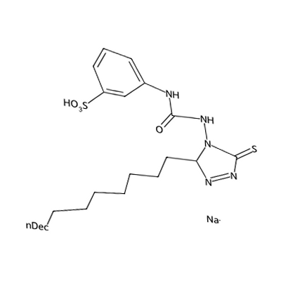 CCCCCCCCCCCCCCCCCC1N=NC(=S)N1NC(=O)Nc1cccc(S(=O)(=O)O)c1.[Na]